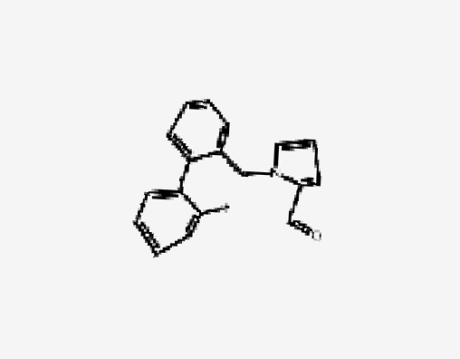 O=Cc1cccn1Cc1ccccc1-c1ccccc1F